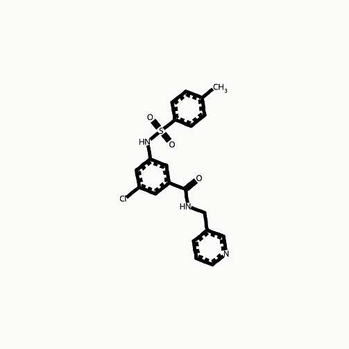 Cc1ccc(S(=O)(=O)Nc2cc(Cl)cc(C(=O)NCc3cccnc3)c2)cc1